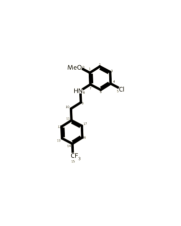 COc1ccc(Cl)cc1NCCc1ccc(C(F)(F)F)cc1